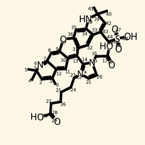 CC1=CC(C)(C)N=c2cc3c(cc21)=C(c1n(CC(=O)O)cc[n+]1CCCCCC(=O)O)c1cc2c(cc1O3)NC(C)(C)C=C2CS(=O)(=O)O